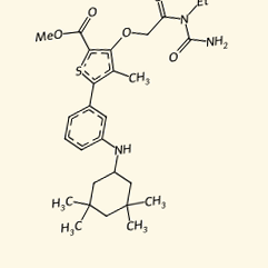 CCN(C(N)=O)C(=O)COc1c(C(=O)OC)sc(-c2cccc(NC3CC(C)(C)CC(C)(C)C3)c2)c1C